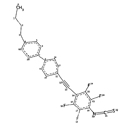 CCCCc1ccc(-c2ccc(C#Cc3c(F)c(F)c(N=C=S)c(F)c3F)cc2)cc1